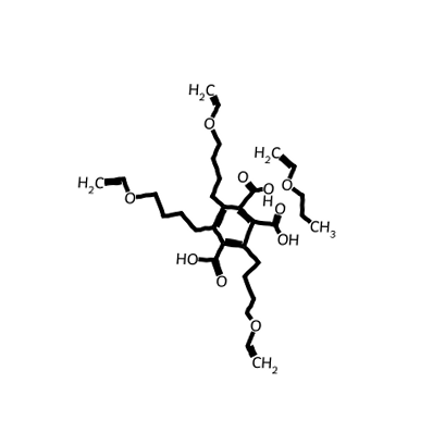 C=COCCC.C=COCCCCc1c(CCCCOC=C)c(C(=O)O)c(C(=O)O)c(CCCCOC=C)c1C(=O)O